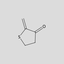 C=C1SCCC1=O